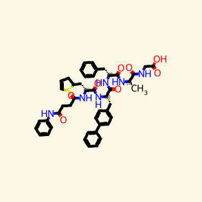 C[C@H](NC(=O)[C@@H](Cc1ccccc1)NC(=O)[C@H](Cc1ccc(-c2ccccc2)cc1)NC(=O)[C@@H](CC1CC=CS1)NC(=O)CCC(=O)Nc1ccccc1)C(=O)NCC(=O)O